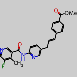 COC(=O)c1ccc(C=CCc2ccc(NC(=O)c3cncc(F)c3C)nc2)cc1